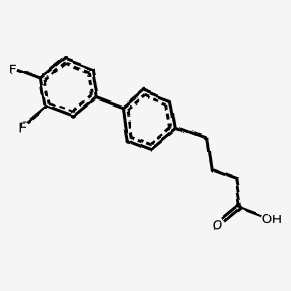 O=C(O)CCCc1ccc(-c2ccc(F)c(F)c2)cc1